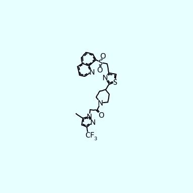 Cc1cc(C(F)(F)F)nn1CC(=O)N1CCC(c2nc(CS(=O)(=O)c3cccc4cccnc34)cs2)CC1